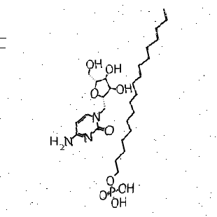 CCCCCCCCCCCCCCCCCCOP(=O)(O)O.Nc1ccn(C[C@@H]2O[C@H](CO)[C@@H](O)[C@H]2O)c(=O)n1